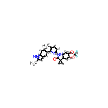 Cc1cc2cc(-c3nc(NC(=O)C4(c5ccc6c(c5)OC(F)(F)O6)CC4)ccc3C)ccc2[nH]1